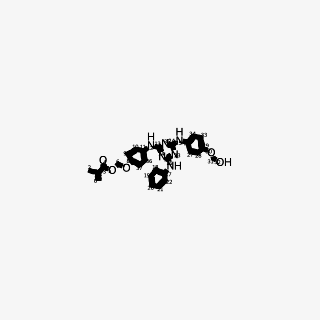 C=C(C)C(=O)OCOc1ccc(Nc2nc(Nc3ccccc3)nc(Nc3ccc(OCO)cc3)n2)cc1